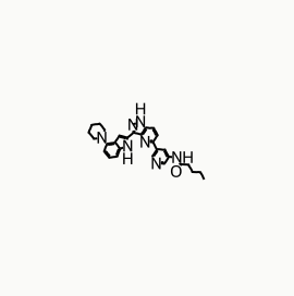 CCCCC(=O)Nc1cncc(-c2ccc3[nH]nc(-c4cc5c(N6CCCCC6)cccc5[nH]4)c3n2)c1